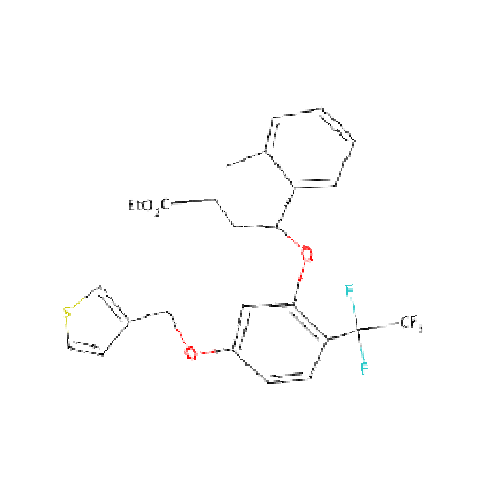 CCOC(=O)CCC(Oc1cc(OCc2ccsc2)ccc1C(F)(F)C(F)(F)F)c1ccccc1C